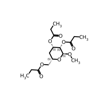 CCC(=O)OC[C@@H]1C[C@H](OC(=O)CC)[C@H](OC(=O)CC)[C@@H](OC)O1